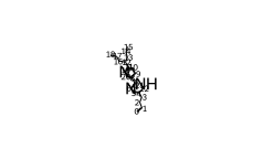 C=CCCC1=CN=C(c2ccc(C(CCC)CCC)nc2)NC1